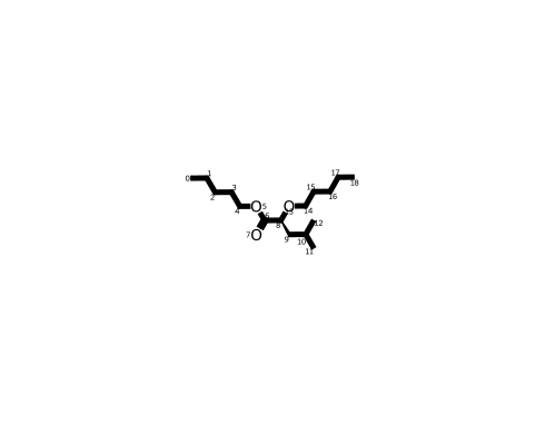 CCCCCOC(=O)[C@H](CC(C)C)OCCCCC